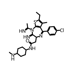 CCc1sc2c(c1C)C(c1ccc(Cl)cc1)=NC(CC(=O)NC1CCC(NC)CC1)C(=N)N2C(C)=N